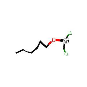 CCCCCO[SiH](Cl)Cl